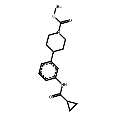 CC(C)(C)OC(=O)N1CCC(c2cccc(NC(=O)C3CC3)c2)CC1